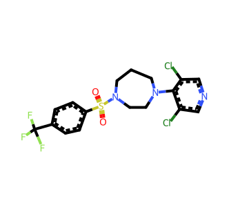 O=S(=O)(c1ccc(C(F)(F)F)cc1)N1CCCN(c2c(Cl)cncc2Cl)CC1